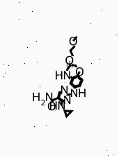 COCCCO[C@H]1CNc2cc(Nc3ncc(C(N)=O)c(NC4CC4)n3)ccc2OC1